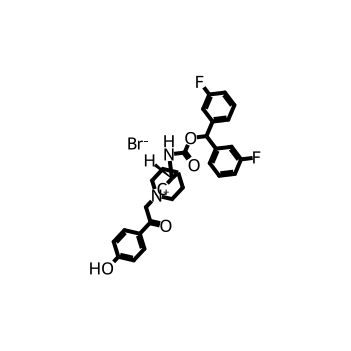 O=C(N[C@H]1C[N+]2(CC(=O)c3ccc(O)cc3)CCC1CC2)OC(c1cccc(F)c1)c1cccc(F)c1.[Br-]